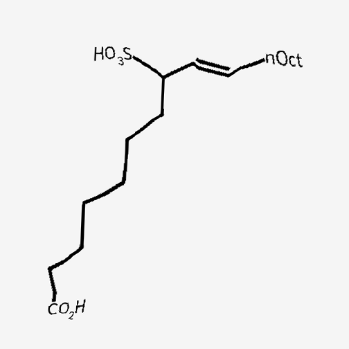 CCCCCCCCC=CC(CCCCCCC(=O)O)S(=O)(=O)O